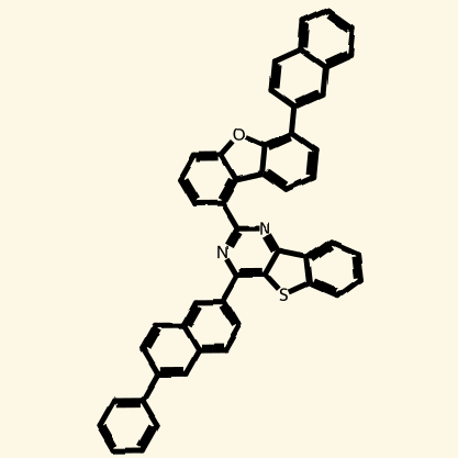 c1ccc(-c2ccc3cc(-c4nc(-c5cccc6oc7c(-c8ccc9ccccc9c8)cccc7c56)nc5c4sc4ccccc45)ccc3c2)cc1